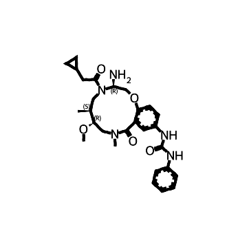 CO[C@H]1CN(C)C(=O)c2cc(NC(=O)Nc3ccccc3)ccc2OC[C@H](N)N(C(=O)CC2CC2)C[C@@H]1C